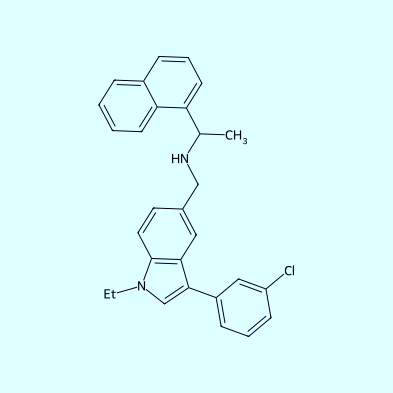 CCn1cc(-c2cccc(Cl)c2)c2cc(CNC(C)c3cccc4ccccc34)ccc21